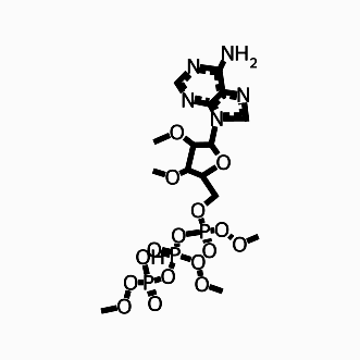 COOP(=O)(O)OP(=O)(OOC)OP(=O)(OCC1OC(n2cnc3c(N)ncnc32)C(OC)C1OC)OOC